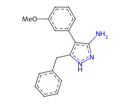 COc1cccc(-c2c(N)n[nH]c2Cc2ccccc2)c1